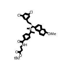 COc1ccc2cc([C@@H](CCc3cc(Cl)cc(Cl)c3)N(C)C(C)c3ccc(C(=O)NCCC(=O)OC(C)(C)C)cc3)ccc2c1